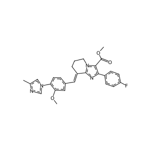 COC(=O)c1c(-c2ccc(F)cc2)nc2n1CCCC2=Cc1ccc(-n2cnc(C)c2)c(OC)c1